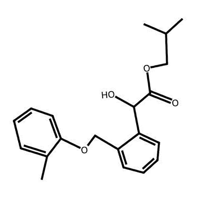 Cc1ccccc1OCc1ccccc1C(O)C(=O)OCC(C)C